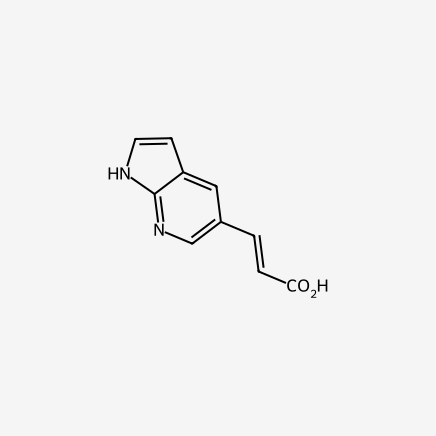 O=C(O)C=Cc1cnc2[nH]ccc2c1